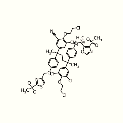 Cc1cc(C(C)(CCC(C)(c2ccc(O[C@H](C)c3ocnc3S(C)(=O)=O)cc2)c2cc(Cl)c(OCCCl)c(Cl)c2)c2ccc(OCc3csc(S(C)(=O)=O)n3)cc2)cc(C#N)c1OCCCl